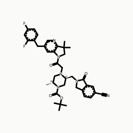 C[C@@H]1CN(CC(=O)N2CC(C)(C)c3ncc(Cc4ccc(F)cc4F)cc32)[C@@H](CN2Cc3ccc(C#N)cc3C2=O)CN1C(=O)OC(C)(C)C